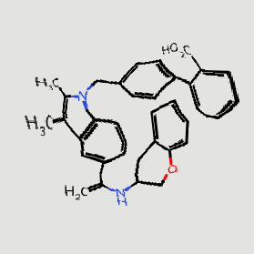 C=C(NC1COc2ccccc2C1)c1ccc2c(c1)c(C)c(C)n2Cc1ccc(-c2ccccc2C(=O)O)cc1